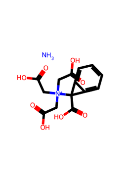 N.O=C(O)C[N+](CC(=O)O)(CC(=O)O)C1(C(=O)O)c2ccccc21